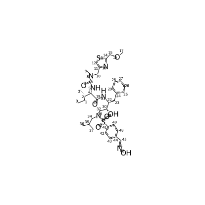 CC[C@H](C)[C@H](NC(=O)N(C)Cc1csc(COC)n1)C(=O)N[C@@H](Cc1ccccc1)[C@@H](O)CN(CC(C)C)S(=O)(=O)c1ccc(C=NO)cc1